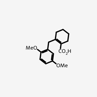 COc1ccc(OC)c(CC2=C(C(=O)O)CCCC2)c1